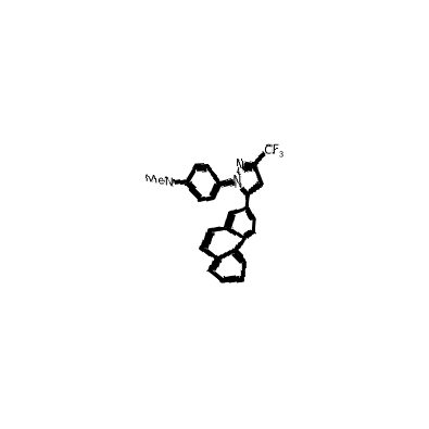 CNc1ccc(-n2nc(C(F)(F)F)cc2-c2ccc3c(ccc4ccccc43)c2)cc1